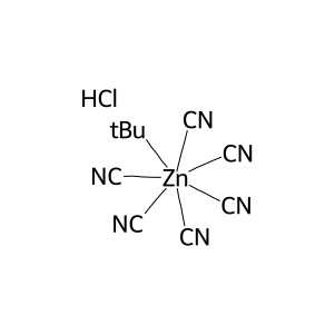 C[C](C)(C)[Zn]([C]#N)([C]#N)([C]#N)([C]#N)([C]#N)[C]#N.Cl